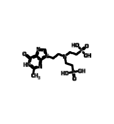 Cc1nc2c(ncn2CCN(CCP(=O)(O)O)CCP(=O)(O)O)c(=O)[nH]1